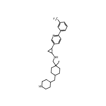 FC1(CNC2CC2c2ccc(-c3cccc(C(F)(F)F)c3)nc2)CCN(CC2CCNCC2)CC1